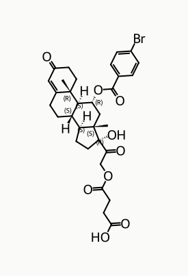 C[C@]12CCC(=O)C=C1CC[C@@H]1[C@@H]2[C@H](OC(=O)c2ccc(Br)cc2)C[C@@]2(C)[C@H]1CC[C@]2(O)C(=O)COC(=O)CCC(=O)O